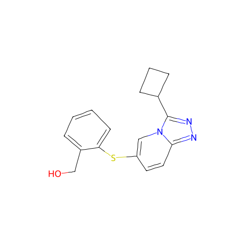 OCc1ccccc1Sc1ccc2nnc(C3CCC3)n2c1